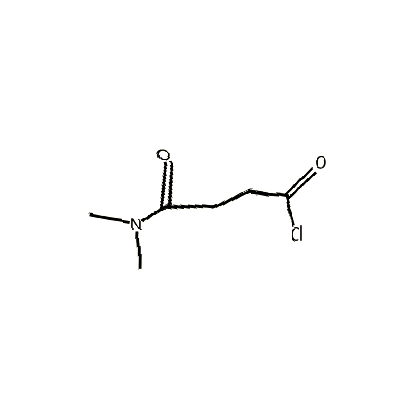 CN(C)C(=O)CCC(=O)Cl